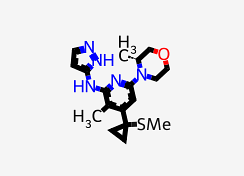 CSC1(c2cc(N3CCOC[C@H]3C)nc(Nc3ccn[nH]3)c2C)CC1